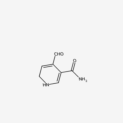 NC(=O)C1=CNCC=C1C=O